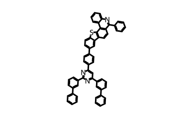 c1ccc(-c2cccc(-c3cc(-c4ccc(-c5ccc6sc7c(ccc8c(-c9ccccc9)nc9ccccc9c87)c6c5)cc4)nc(-c4cccc(-c5ccccc5)c4)n3)c2)cc1